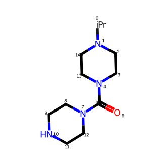 CC(C)N1CCN(C(=O)N2CCNCC2)CC1